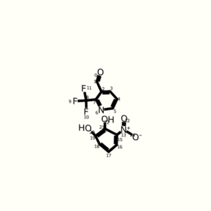 O=Cc1cccnc1C(F)(F)F.O=[N+]([O-])c1cccc(O)c1O